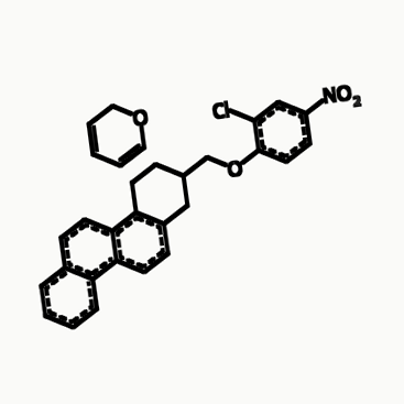 C1=CCOC=C1.O=[N+]([O-])c1ccc(OCC2CCc3c(ccc4c3ccc3ccccc34)C2)c(Cl)c1